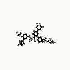 Cn1nnc(-c2cc(NC(=O)N(Cc3ccc(C(=O)Nc4nn[nH]n4)cc3)c3ccc(C4CCCCC4)cc3)ccc2OC(F)(F)F)n1